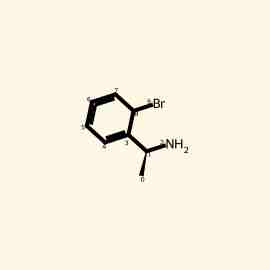 C[C@H](N)C1=CC=C=CC1Br